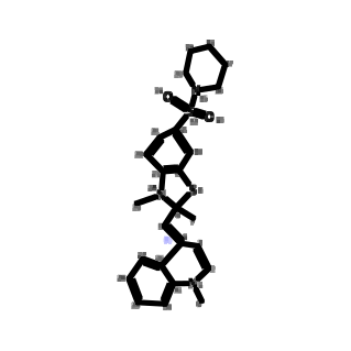 CN1C=C/C(=C\C2(C)Sc3cc(S(=O)(=O)N4CCCCC4)ccc3N2C)c2ccccc21